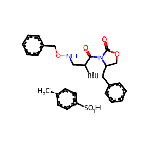 CCCCC(CNOCc1ccccc1)C(=O)N1C(=O)OCC1Cc1ccccc1.Cc1ccc(S(=O)(=O)O)cc1